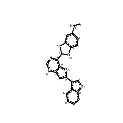 CNc1ccc2c(c1)OC(c1ncnc3cc(-c4csc5ccccc45)sc13)O2